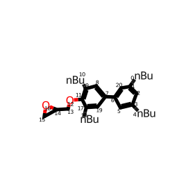 CCCCc1cc(CCCC)cc(-c2cc(CCCC)c(OCC3CO3)c(CCCC)c2)c1